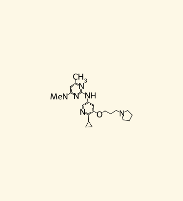 CNc1cc(C)nc(Nc2cnc(C3CC3)c(OCCCN3CCCC3)c2)n1